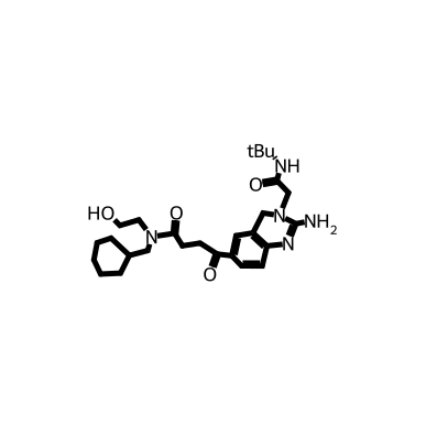 CC(C)(C)NC(=O)CN1Cc2cc(C(=O)CCC(=O)N(CCO)CC3CCCCC3)ccc2N=C1N